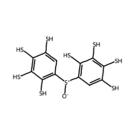 [O-][S+](c1cc(S)c(S)c(S)c1S)c1cc(S)c(S)c(S)c1S